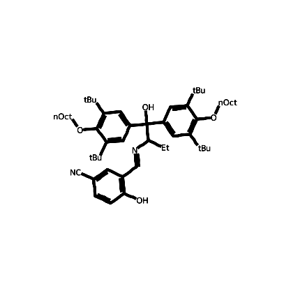 CCCCCCCCOc1c(C(C)(C)C)cc(C(O)(c2cc(C(C)(C)C)c(OCCCCCCCC)c(C(C)(C)C)c2)C(CC)N=Cc2cc(C#N)ccc2O)cc1C(C)(C)C